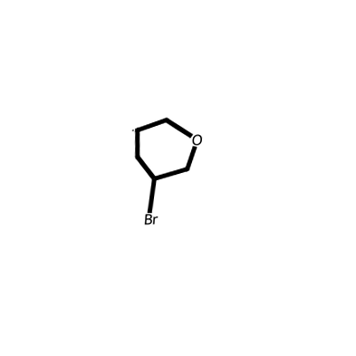 BrC1C[CH]COC1